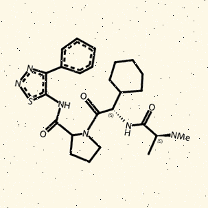 CN[C@@H](C)C(=O)N[C@H](C(=O)N1CCCC1C(=O)Nc1snnc1-c1ccccc1)C1CCCCC1